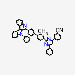 CC1C=C(c2nc(-c3ccccc3)cc(-c3cccc(C#N)c3)n2)C=CC1c1ccc(-c2nc3ccccc3c3c4ccccc4n(-c4ccccc4)c23)cc1